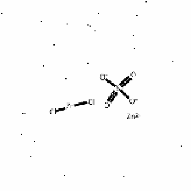 O=S(=O)([O-])[O-].[Cl][Zn][Cl].[Zn+2]